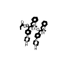 CCC(=O)O.CCC(Cc1ccccc1)(C(=O)c1ccc(N2CCNCC2)cc1)N(C)C.CCC(Cc1ccccc1)(C(=O)c1ccc(N2CCNCC2)cc1)N(C)C